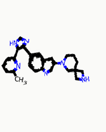 Cc1cccc(-c2[nH]cnc2-c2ccc3ncc(N4CCCC5(CNC5)C4)cc3c2)n1